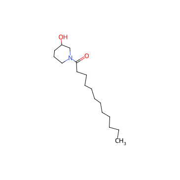 CCCCCCCCCCCC(=O)N1CCCC(O)C1